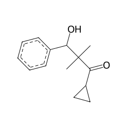 CC(C)(C(=O)C1CC1)C(O)c1ccccc1